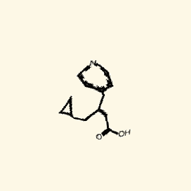 O=C(O)CC(CC1CC1)c1ccncc1